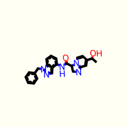 CC(O)C1=CC2=NCC(C(=O)Nc3cccc4c3cnn4Cc3ccccc3)N2C=C1